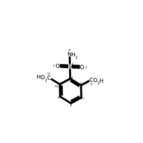 NS(=O)(=O)c1c(C(=O)O)cccc1C(=O)O